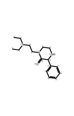 CCN(CC)CCN1CCNC(c2ccccc2)C1=O